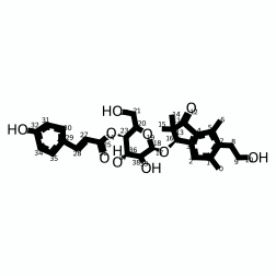 Cc1cc2c(c(C)c1CCO)C(=O)C(C)(C)[C@@H]2O[C@@H]1OC(CO)[C@@H](OC(=O)/C=C/c2ccc(O)cc2)[C@H](O)C1O